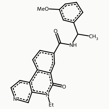 CCn1c(=O)c2cc(C(=O)NC(C)c3cccc(OC)c3)ccc2c2ccncc21